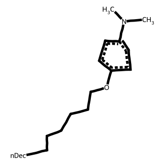 CCCCCCCCCCCCCCCCOc1ccc(N(C)C)cc1